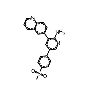 CS(=O)(=O)c1ccc(-c2cnc(N)c(-c3ccc4ncccc4c3)c2)cc1